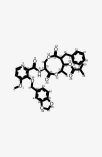 COc1ccnc(C(=O)N[C@H]2COC(=O)C(Cc3ccccc3)C(OC(=O)C(C)C)C(C)OC2=O)c1OCc1ccc2c(c1)OCO2